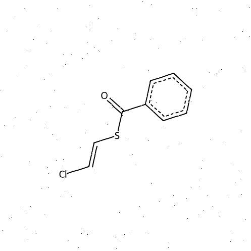 O=C(SC=CCl)c1ccccc1